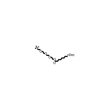 CCCCCCCCCCCCCCCCCC(=O)OCCOCCOCCOCC[N+](C)(C)C